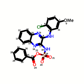 COc1ccc(Cl)c(Nc2nc3ccccc3nc2NS(=O)(=O)OC(=O)c2ccccc2)c1